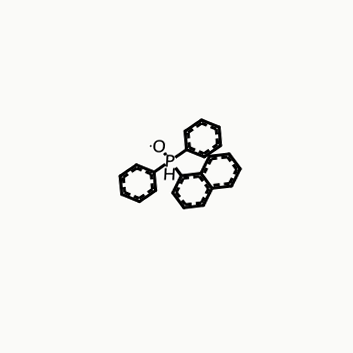 [O][PH](c1ccccc1)(c1ccccc1)c1cccc2ccccc12